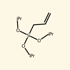 C=CC[Si](OC(C)C)(OC(C)C)OC(C)C